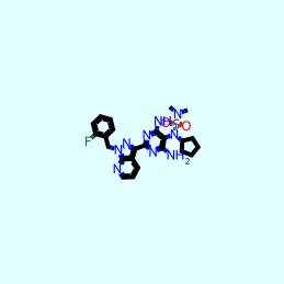 CN(C)S(=O)(=O)N(c1c(N)nc(-c2nn(Cc3ccccc3F)c3ncccc23)nc1N)C1CCCC1